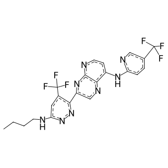 CCCCNc1cc(C(F)(F)F)c(-c2cnc3c(Nc4ccc(C(F)(F)F)cn4)ccnc3n2)nn1